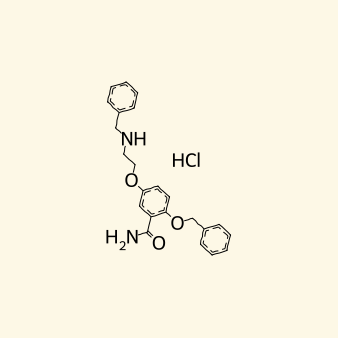 Cl.NC(=O)c1cc(OCCNCc2ccccc2)ccc1OCc1ccccc1